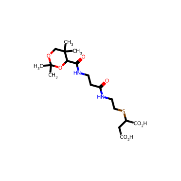 CC1(C)OCC(C)(C)C(C(=O)NCCC(=O)NCCSC(CC(=O)O)C(=O)O)O1